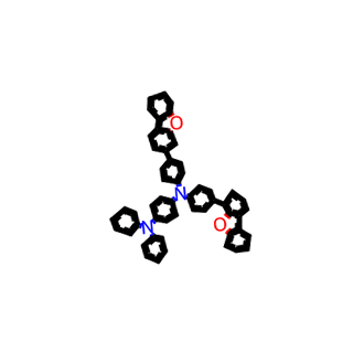 c1ccc(N(c2ccccc2)c2ccc(N(c3ccc(-c4ccc5c(c4)oc4ccccc45)cc3)c3ccc(-c4cccc5c4oc4ccccc45)cc3)cc2)cc1